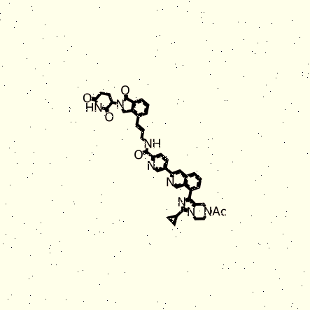 CC(=O)N1CCn2c(C3CC3)nc(-c3cccc4cc(-c5ccc(C(=O)NC/C=C/c6cccc7c6CN(C6CCC(=O)NC6=O)C7=O)nc5)ncc34)c2C1